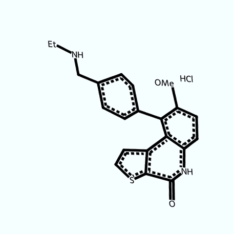 CCNCc1ccc(-c2c(OC)ccc3[nH]c(=O)c4sccc4c23)cc1.Cl